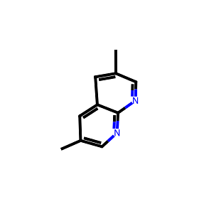 Cc1cnc2ncc(C)cc2c1